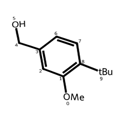 COc1cc(CO)ccc1C(C)(C)C